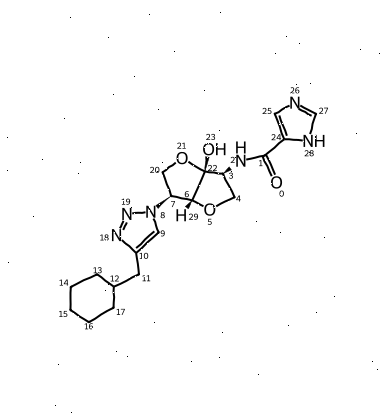 O=C(N[C@H]1CO[C@@H]2[C@@H](n3cc(CC4CCCCC4)nn3)CO[C@]12O)c1cnc[nH]1